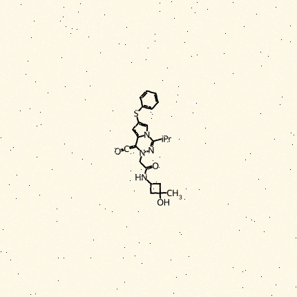 CC(C)C1=NN(CC(=O)NC2CC(C)(O)C2)C(=C=O)c2cc(Sc3ccccc3)cn21